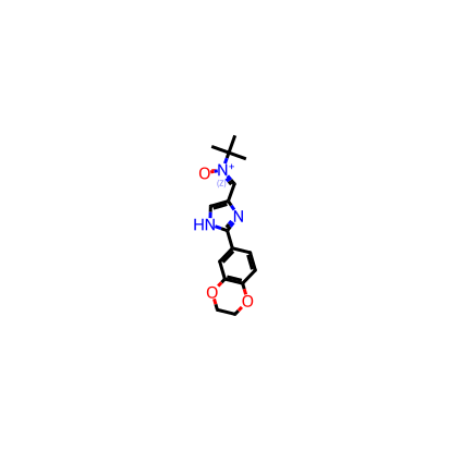 CC(C)(C)/[N+]([O-])=C/c1c[nH]c(-c2ccc3c(c2)OCCO3)n1